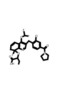 CCC(OC1(F)CC=Cc2c1ncc(Cc1ccc(C(=O)N3CCCC3)cc1Cl)c2OC(F)F)C(=O)O